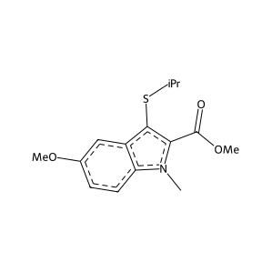 COC(=O)c1c(SC(C)C)c2cc(OC)ccc2n1C